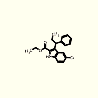 CCOC(=O)c1[nH]c2ccc(Cl)cc2c1C(CC)c1ccccc1